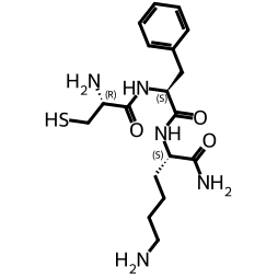 NCCCC[C@H](NC(=O)[C@H](Cc1ccccc1)NC(=O)[C@@H](N)CS)C(N)=O